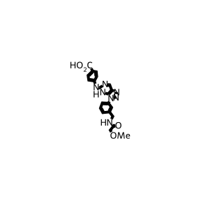 COCC(=O)NCc1cccc(-n2nnc3cnc(Nc4ccc(C(=O)O)cc4)nc32)c1